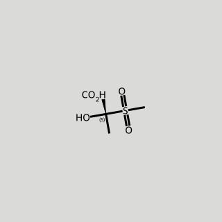 C[C@@](O)(C(=O)O)S(C)(=O)=O